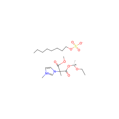 CCCCCCCCOS(=O)(=O)[O-].CCO[C@@H](C)OC(=O)C(C)(C(=O)OC)n1cc[n+](C)c1